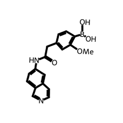 COc1cc(CC(=O)Nc2ccc3cnccc3c2)ccc1B(O)O